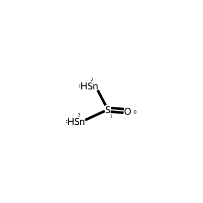 O=[S]([SnH])[SnH]